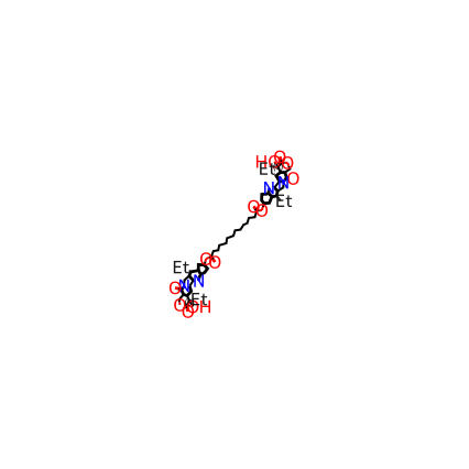 CCc1c2c(nc3ccc(OC(=O)CCCCCCCCCCCCC(=O)Oc4ccc5nc6c(c(CC)c5c4)Cn4c-6cc5c(c4=O)COC(=O)[C@]5(O)CC)cc13)-c1cc3c(c(=O)n1C2)COC(=O)[C@]3(O)CC